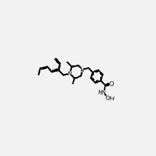 C=C/C(=C\C=C/C)CN1C(C)CN(Cc2ccc(C(=O)NO)cc2)CC1C